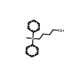 C[Si](CCCCO)(c1ccccc1)c1ccccc1